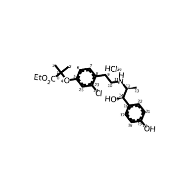 CCOC(=O)C(C)(C)Oc1ccc(CCN[C@@H](C)[C@H](O)c2ccc(O)cc2)c(Cl)c1.Cl